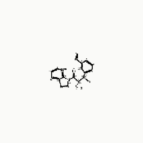 C=Cc1cccc([C@@H](C)[C@@H](C(=O)N2CCc3cccnc32)C(F)(F)F)c1